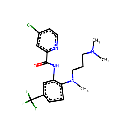 CN(C)CCCN(C)c1ccc(C(F)(F)F)cc1NC(=O)c1cc(Cl)ccn1